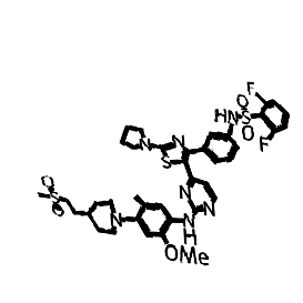 COc1cc(N2CCC(CCS(C)(=O)=O)CC2)c(C)cc1Nc1nccc(-c2sc(N3CCCC3)nc2-c2cccc(NS(=O)(=O)c3c(F)cccc3F)c2)n1